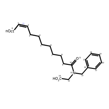 CCCCCCCC/C=C\CCCCCCCC(=O)N(CC(=O)O)Cc1ccccc1